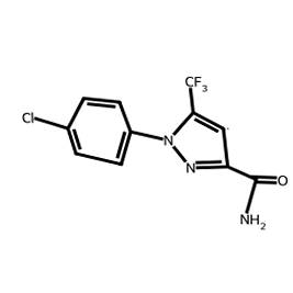 NC(=O)c1[c]c(C(F)(F)F)n(-c2ccc(Cl)cc2)n1